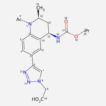 CC(=O)N1c2ccc(-c3cn(CC(=O)O)nn3)cc2[C@H](NC(=O)OC(C)C)C[C@@H]1C